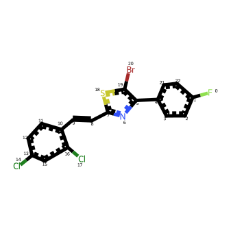 Fc1ccc(-c2nc(/C=C/c3ccc(Cl)cc3Cl)sc2Br)cc1